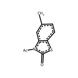 CC(=O)n1c(=O)sc2ccc(C)cc21